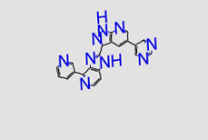 c1cncc(-c2nccc3[nH]c(-c4n[nH]c5ncc(-c6cncnc6)cc45)nc23)c1